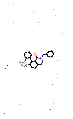 COc1ccccc1-c1c(OC)ccc2c1C(=O)N(Cc1ccccc1)CC2